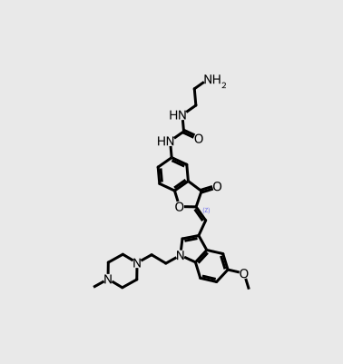 COc1ccc2c(c1)c(/C=C1\Oc3ccc(NC(=O)NCCN)cc3C1=O)cn2CCN1CCN(C)CC1